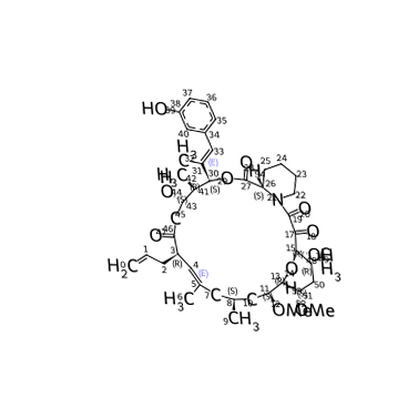 C=CC[C@@H]1/C=C(\C)C[C@H](C)C[C@H](OC)[C@H]2O[C@@](O)(C(=O)C(=O)N3CCCC[C@H]3C(=O)O[C@H](/C(C)=C/c3cccc(O)c3)[C@H](C)[C@@H](O)CC1=O)[C@H](C)C[C@@H]2OC